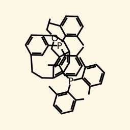 CCOCc1cc2c(P(c3c(C)cccc3C)c3c(C)cccc3C)cc1CCc1ccc(cc1P(c1c(C)cccc1C)c1c(C)cccc1C)CC2